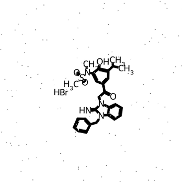 Br.CC(C)c1cc(C(=O)Cn2c(=N)n(Cc3ccccc3)c3ccccc32)cc(N(C)S(C)(=O)=O)c1O